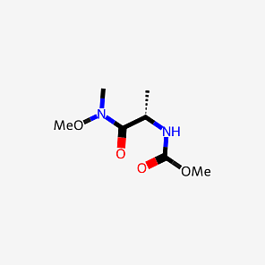 COC(=O)N[C@@H](C)C(=O)N(C)OC